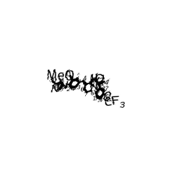 COc1cc(/C=C2\CCCN3C2=NOC3(C)c2cccc(OC(F)(F)F)c2)ccc1-n1cnc(C)c1